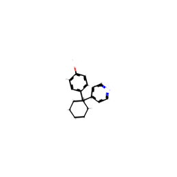 Oc1ccc(C2(c3ccncc3)CCCCC2)cc1